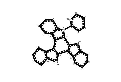 c1ccc(-n2c3ccccc3c3c4c5ccccc5oc4c4c5ccccc5sc4c32)nc1